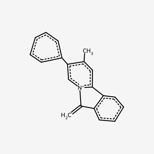 C=C1c2ccccc2-c2cc(C)c(-c3ccccc3)c[n+]21